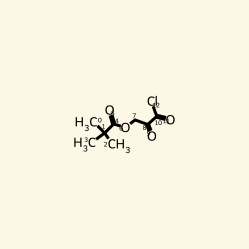 CC(C)(C)C(=O)OCC(=O)C(=O)Cl